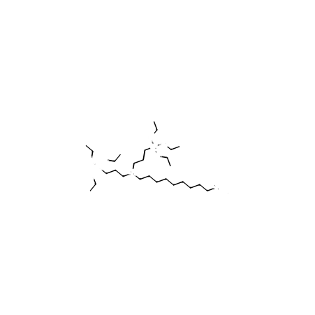 CCO[Si](CCCN(CCCCCCCCCN)CCC[Si](OCC)(OCC)OCC)(OCC)OCC